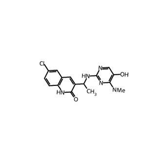 CNc1nc(NC(C)c2cc3cc(Cl)ccc3[nH]c2=O)ncc1O